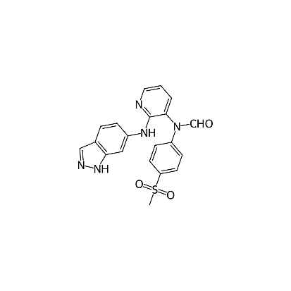 CS(=O)(=O)c1ccc(N(C=O)c2cccnc2Nc2ccc3cn[nH]c3c2)cc1